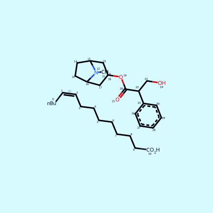 CCCC/C=C\CCCCCCCC(=O)O.CN1C2CCC1CC(OC(=O)C(CO)c1ccccc1)C2